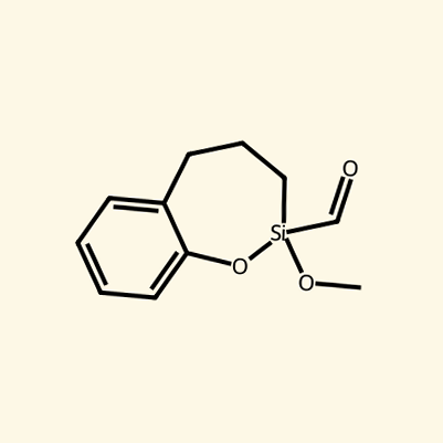 CO[Si]1(C=O)CCCc2ccccc2O1